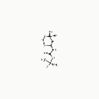 CC(C)(C)OC(=O)N[C]1CCCC(F)(F)C1